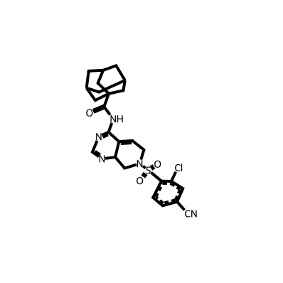 N#Cc1ccc(S(=O)(=O)N2CC=C3C(NC(=O)C45CC6CC(CC(C6)C4)C5)=NC=NC3C2)c(Cl)c1